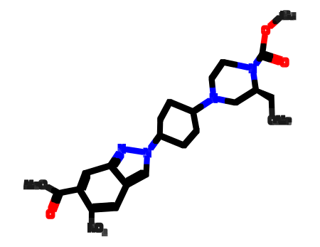 COC[C@H]1CN(C2CCC(n3cc4cc([N+](=O)[O-])c(C(=O)OC)cc4n3)CC2)CCN1C(=O)OC(C)(C)C